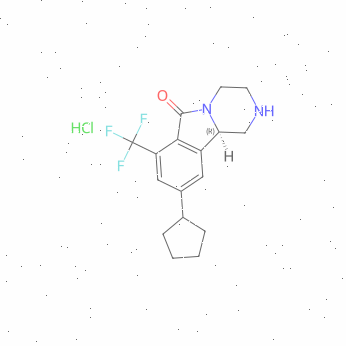 Cl.O=C1c2c(cc(C3CCCC3)cc2C(F)(F)F)[C@@H]2CNCCN12